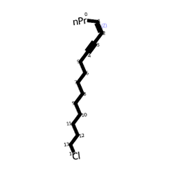 CCC/C=C\C#CCCCCCCCCCCl